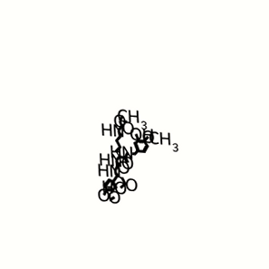 COC(=O)NCCCC[C@H](NC(=O)N[C@@H](CC(=O)O)c1ccc2c(c1)OCO2)C(=O)NCc1ccc(OC)c(O)c1